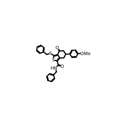 COc1ccc(C2CC(=O)c3c(SCc4ccccc4)sc(C(=O)NCc4ccccc4)c3C2)cc1